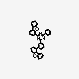 C1=CC2Oc3ccccc3C2C(c2cccc(-c3nc(-c4ccccc4)nc(-c4cccc5c4oc4ccccc45)n3)c2)=C1